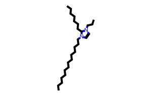 CCCCCCCCCCCCCCN1C=CN(CCC)C1CCCCCCC